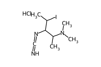 CC(I)C(N=C=N)C(C)N(C)C.Cl